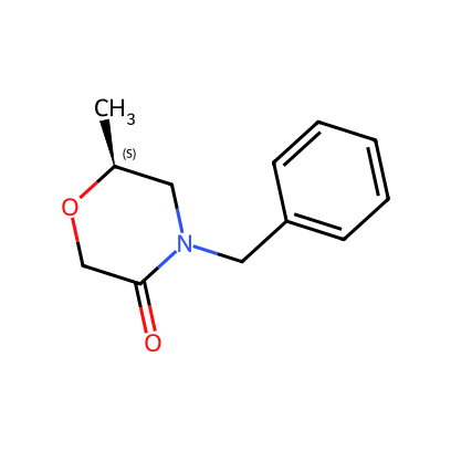 C[C@H]1CN(Cc2ccccc2)C(=O)CO1